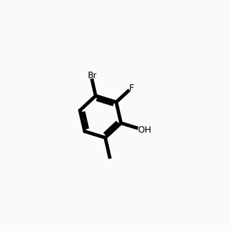 Cc1ccc(Br)c(F)c1O